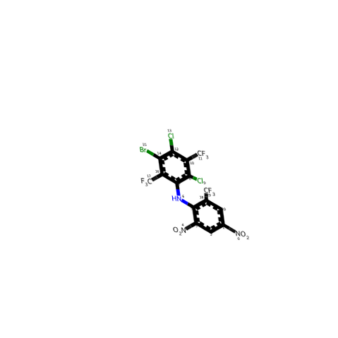 O=[N+]([O-])c1cc([N+](=O)[O-])c(Nc2c(Cl)c(C(F)(F)F)c(Cl)c(Br)c2C(F)(F)F)c(C(F)(F)F)c1